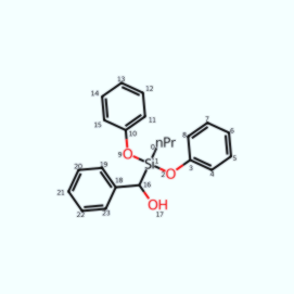 CCC[Si](Oc1ccccc1)(Oc1ccccc1)C(O)c1ccccc1